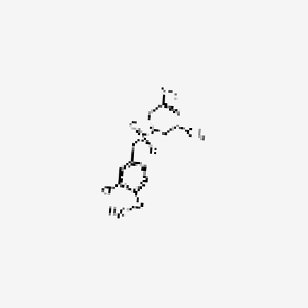 CCCN(CC(N)=S)S(=O)(=O)Cc1ccc(OC)c(Cl)c1